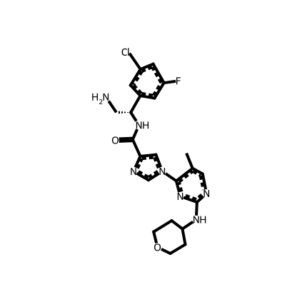 Cc1cnc(NC2CCOCC2)nc1-n1cnc(C(=O)N[C@H](CN)c2cc(F)cc(Cl)c2)c1